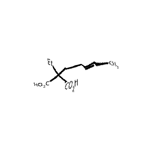 CC=CCC(CC)(C(=O)O)C(=O)O